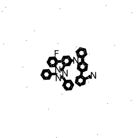 N#Cc1ccccc1-c1ccc2c3ccccc3n(-c3ccc(-c4ccccc4F)c(-c4nc(-c5ccccc5)nc(-c5ccccc5)n4)c3)c2c1